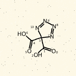 O=C(O)C1(C(=O)O)N=NN=N1